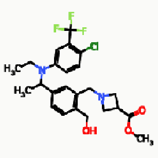 CCN(c1ccc(Cl)c(C(F)(F)F)c1)C(C)c1ccc(CO)c(CN2CC(C(=O)OC)C2)c1